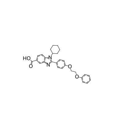 O=C(O)c1ccc2c(c1)nc(-c1ccc(OCCOc3ccccc3)cc1)n2C1CCCCC1